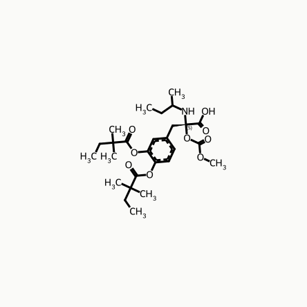 CCC(C)N[C@@](Cc1ccc(OC(=O)C(C)(C)CC)c(OC(=O)C(C)(C)CC)c1)(OC(=O)OC)C(=O)O